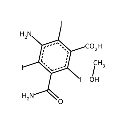 CO.NC(=O)c1c(I)c(N)c(I)c(C(=O)O)c1I